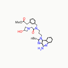 CCCCc1nc2c(N)nc3ccccc3c2n1CCCN(Cc1cccc(CC(=O)OC)c1)C(=O)CN1CC(O)C1